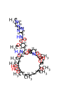 CO[C@H]1C[C@@H]2CC[C@@H](C)[C@@](O)(O2)C(=O)C(=O)N2CCCC[C@H]2C(=O)O[C@H]([C@H](N)C[C@@H]2CC[C@@H](OC(=O)NCc3cnc(N4CCN(C)CC4)nc3)[C@H](OC)C2)CC(=O)[C@H](C)/C=C(\C)[C@@H](O)[C@@H](O)C(=O)C(C)C[C@H](C)/C=C/C=C/C=C/1C